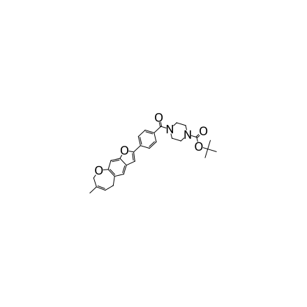 CC1=CCc2cc3cc(-c4ccc(C(=O)N5CCN(C(=O)OC(C)(C)C)CC5)cc4)oc3cc2OC1